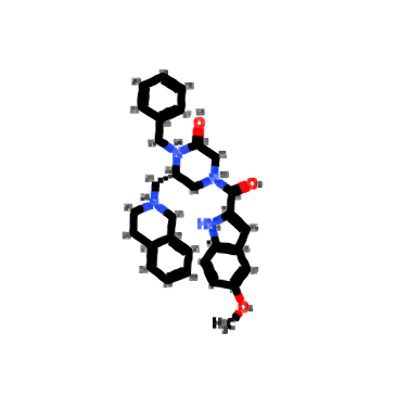 COc1ccc2[nH]c(C(=O)N3CC(=O)N(Cc4ccccc4)[C@@H](CN4CCc5ccccc5C4)C3)cc2c1